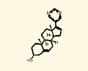 C[C@]12CC[C@H](O)CC1=CC[C@@H]1[C@@H]2CC[C@]2(C)C(c3cncnc3)=CC[C@@H]12